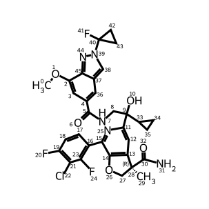 COc1cc(C(=O)NCC(O)(c2cc3c(c(-c4ccc(F)c(Cl)c4F)n2)OC[C@]3(C)C(N)=O)C2CC2)cc2cn(C3(F)CC3)nc12